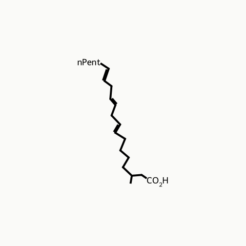 CCCCCC=CCC=CCC=CCCCCC(C)CC(=O)O